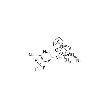 CC(O)(CN1CC2CC(C1)N2c1ccc(C#N)cc1)C(=O)Nc1cnc(C#N)c(C(F)(F)F)c1